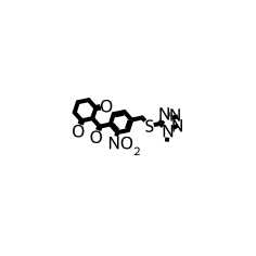 Cn1nnnc1SCc1ccc(C(=O)C2C(=O)CCCC2=O)c([N+](=O)[O-])c1